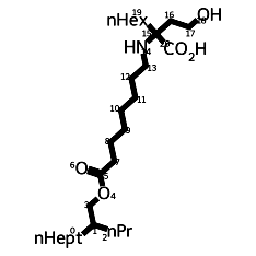 CCCCCCCC(CCC)COC(=O)CCCCCCCNC(CCO)(CCCCCC)C(=O)O